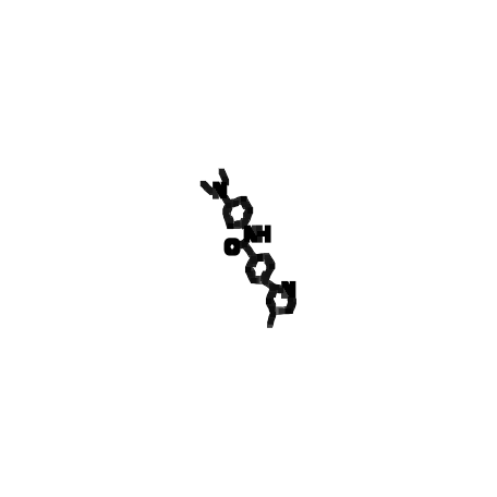 CCN(CC)c1ccc(NC(=O)c2ccc(-c3cc(C)ccn3)cc2)cc1